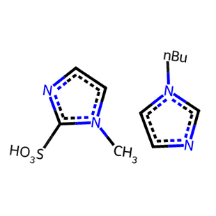 CCCCn1ccnc1.Cn1ccnc1S(=O)(=O)O